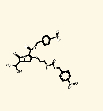 CC(O)C1C(=O)N2C(C(=O)OCc3ccc([N+](=O)[O-])cc3)=C(SCCNC(=O)OCc3ccc([N+](=O)[O-])cc3)CC12